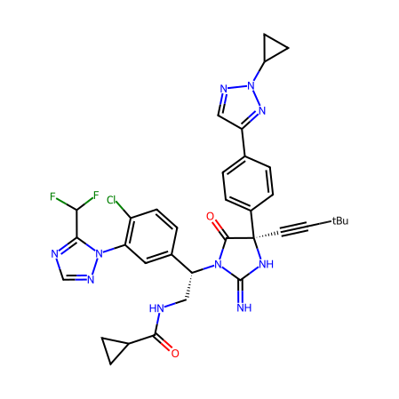 CC(C)(C)C#C[C@]1(c2ccc(-c3cnn(C4CC4)n3)cc2)NC(=N)N([C@H](CNC(=O)C2CC2)c2ccc(Cl)c(-n3ncnc3C(F)F)c2)C1=O